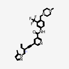 C=C/C(C#Cc1cncc(C(=O)Nc2ccc(CN3CCN(C)CC3)c(C(F)(F)F)c2)c1)=C\n1nccc1C